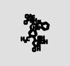 CC(=O)OC(=O)N[C@@H](Cc1ccc(C2CC(=O)NS2(O)O)c(C)c1)c1nc2ccccc2[nH]1